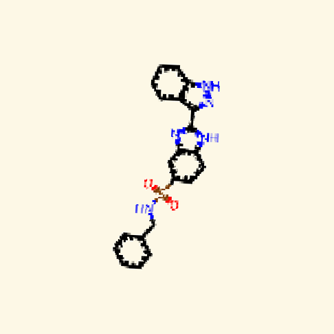 O=S(=O)(NCc1ccccc1)c1ccc2[nH]c(-c3n[nH]c4ccccc34)nc2c1